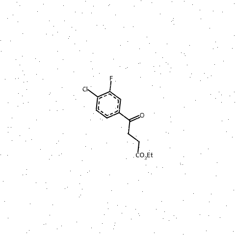 CCOC(=O)CCC(=O)c1ccc(Cl)c(F)c1